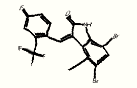 Cc1c(Br)cc(Br)c2c1C(=Cc1ccc(F)cc1C(F)(F)F)C(=O)N2